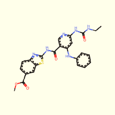 CCNC(=O)Nc1cc(Nc2ccccc2)c(C(=O)Nc2nc3ccc(C(=O)OC)cc3s2)cn1